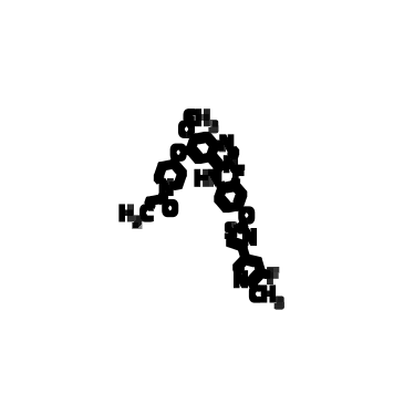 C=CC(=O)N1CCC(Oc2cc3c(Nc4ccc(Oc5nc(-c6cnc(C)c(F)c6)cs5)cc4F)ncnc3cc2OC)CC1